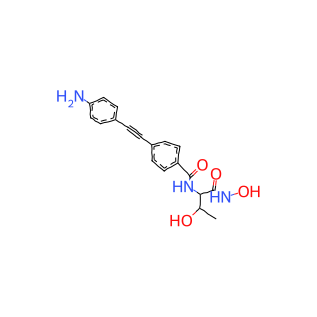 CC(O)C(NC(=O)c1ccc(C#Cc2ccc(N)cc2)cc1)C(=O)NO